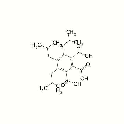 CC(C)Cc1c(CC(C)C)c(C(=O)O)c(C(=O)O)c(C(=O)O)c1CC(C)C